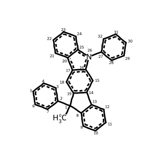 CC1(c2ccccc2)c2ccccc2-c2cc3c(cc21)c1ccccc1n3-c1ccccc1